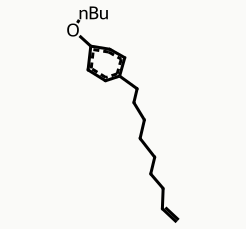 C=CCCCCCCCc1ccc(OCCCC)cc1